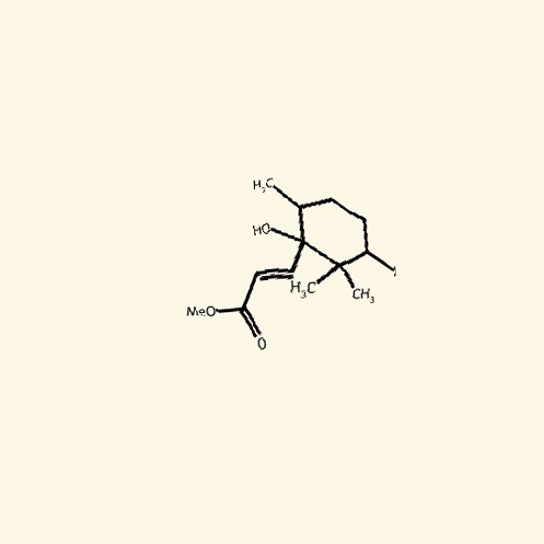 COC(=O)C=CC1(O)C(C)CCC(I)C1(C)C